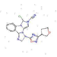 N#CN1C=C2N(c3ccccc3C3=NCN(c4nc(C5CCOC5)no4)N23)C1Cl